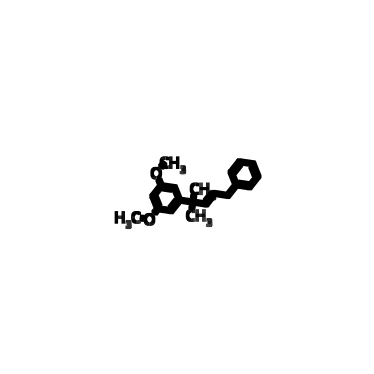 COc1cc(OC)cc(C(C)(C)C=CCc2ccccc2)c1